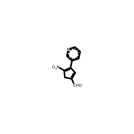 O=CC1=CC(c2cccnc2)=C([N+](=O)[O-])C1